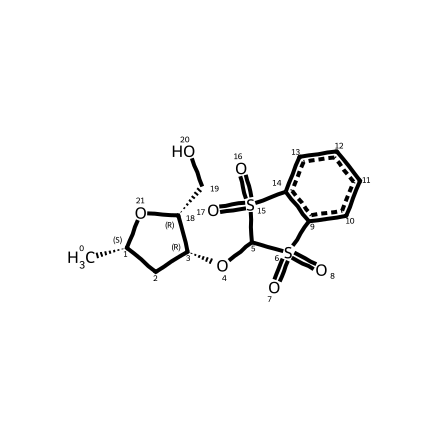 C[C@H]1C[C@@H](OC2S(=O)(=O)c3ccccc3S2(=O)=O)[C@@H](CO)O1